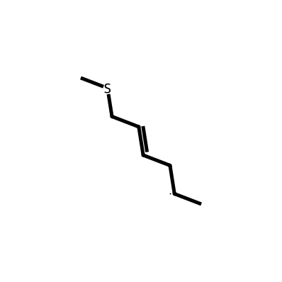 C[CH]CC=CCSC